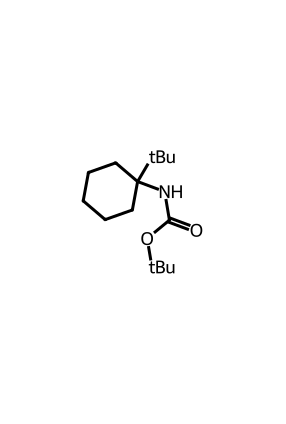 CC(C)(C)OC(=O)NC1(C(C)(C)C)CCCCC1